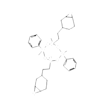 C[Si]1(CCC2CCC3OC3C2)O[Si](C)(c2ccccc2)O[SiH](CCC2CCC3OC3C2)O[Si](C)(c2ccccc2)O1